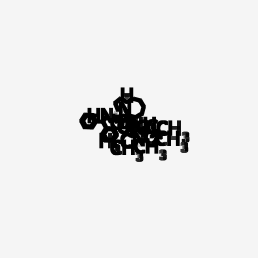 Cc1ccc(C(NC(=O)[C@@H]2CC[C@@H]3CCCC[C@H](NC(=O)[C@H](C)N(C)C(=O)OC(C)(C)C)C(=O)N32)c2ccccc2)cc1